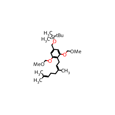 COCOc1cc(CO[Si](C)(C)C(C)(C)C)cc(OCOC)c1C/C=C(\C)CCC=C(C)C